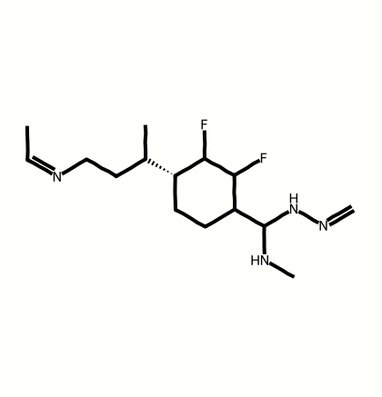 C=NNC(NC)C1CC[C@H](C(C)CC/N=C\C)C(F)C1F